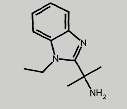 CCn1c(C(C)(C)N)nc2ccccc21